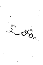 Cc1sc2cc(C#CCCCC(C)CCN)ccc2c1-c1ccc(C(F)(F)F)cc1